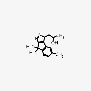 Cc1ccc2c(c1)C1=C(N=NC1CC(C)O)C2(C)C